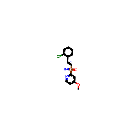 COc1ccnc(S(=N)(=O)/C=C/c2ccccc2Cl)c1